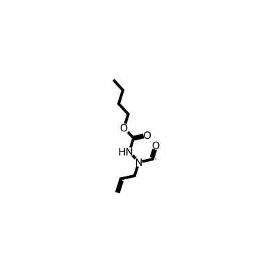 C=CCN([C]=O)NC(=O)OCCCC